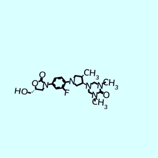 C[C@@H]1CN(c2ccc(N3C[C@H](CO)OC3=O)cc2F)C[C@@H]1N1CN(C)C(=O)N(C)C1